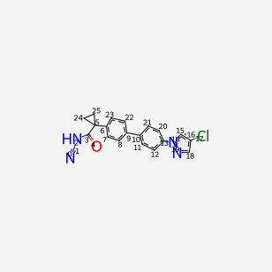 N#CNC(=O)C1(c2ccc(-c3ccc(-n4[c]c(Cl)cn4)cc3)cc2)CC1